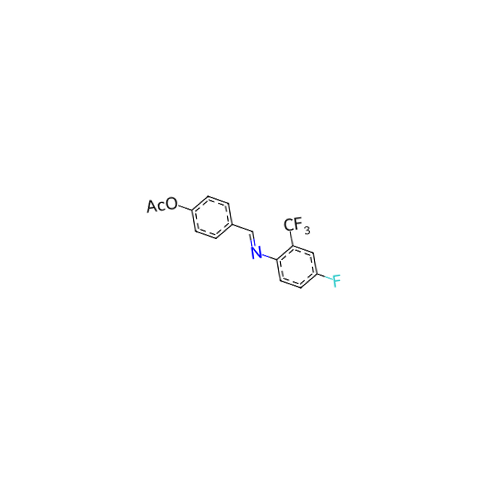 CC(=O)Oc1ccc(C=Nc2ccc(F)cc2C(F)(F)F)cc1